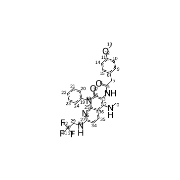 CNc1c(NC(=O)Cc2ccc(OC)cc2)c(=O)n(-c2ccccc2)c2nc(NCC(F)(F)F)ccc12